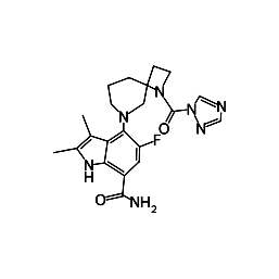 Cc1[nH]c2c(C(N)=O)cc(F)c(N3CCCC4(CCN4C(=O)n4cncn4)C3)c2c1C